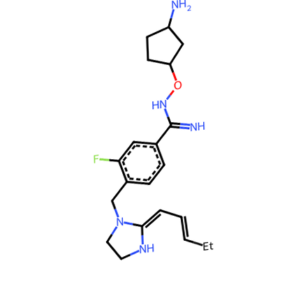 CC/C=C/C=C1\NCCN1Cc1ccc(C(=N)NOC2CCC(N)C2)cc1F